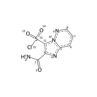 NC(=O)c1nc2cccnn2c1S(=O)(=O)Cl